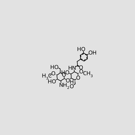 CO[C@@H]1O[C@@H](CO)[C@@H](O[C@@H]2OC(CO)[C@@H](OC)[C@H](O)C2N)C(O)C1NC(=O)Cc1ccc(O)c(O)c1